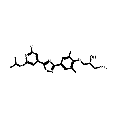 Cc1cc(-c2noc(-c3cc(Cl)nc(OC(C)C)c3)n2)cc(C)c1OC[C@@H](O)CN